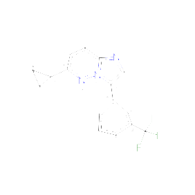 FC(F)(F)c1cccc(-c2cnc3ccc(C4CC4)nn23)c1